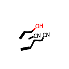 C=CCCC#N.C=CCO.CC#N